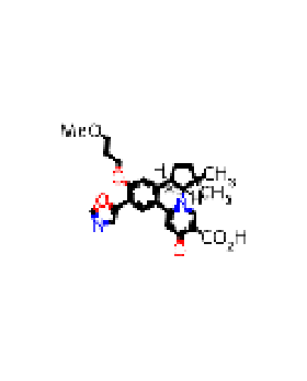 COCCCOc1cc2c(cc1-c1cnco1)-c1cc(=O)c(C(=O)O)cn1[C@H]1[C@@H]2CCC1(C)C